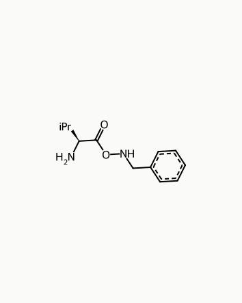 CC(C)[C@H](N)C(=O)ONCc1ccccc1